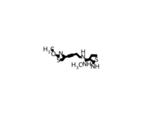 CN/C(NCCC#Cc1csc(OC)n1)=C1/C=CSC1=N